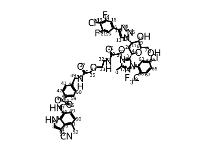 Cc1nc([C@@H]2O[C@H](CO)[C@H](O)[C@H](n3cc(-c4cc(F)c(Cl)c(F)c4)nn3)[C@H]2OCC(=O)NCCOCC(=O)NCc2ccc(S(=O)(=O)Nc3ccc(C)c4c(C#N)c[nH]c34)cc2)n(-c2cc(Cl)ccc2C(F)(F)F)n1